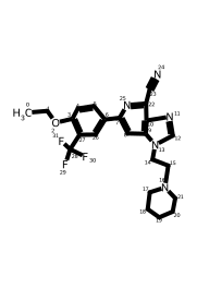 CCOc1ccc(-c2cc3c(ncn3CCN3CCCCC3)c(C#N)n2)cc1C(F)(F)F